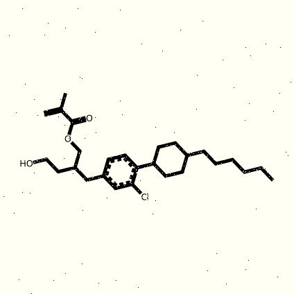 C=C(C)C(=O)OCC(CCO)Cc1ccc(C2CCC(CCCCCC)CC2)c(Cl)c1